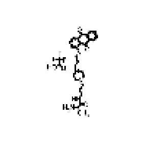 C[C@H](N)C(=O)NCCCN1CCN(CCCNc2cccc3c2C(=O)c2ccccc2C3=O)CC1.O=C(O)C(F)(F)F